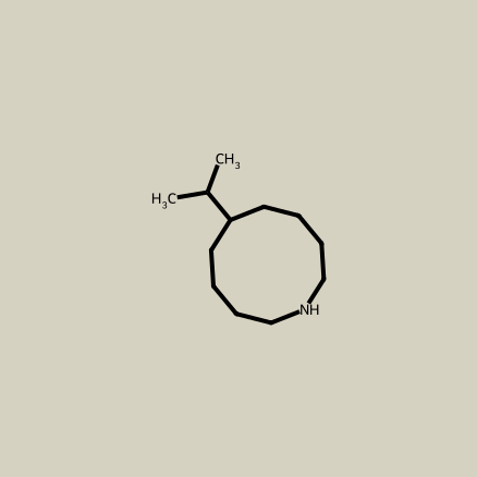 CC(C)C1CCCCNCCCC1